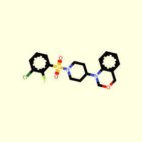 O=S(=O)(c1cccc(Cl)c1F)N1CCC(N2COCc3ccccc32)CC1